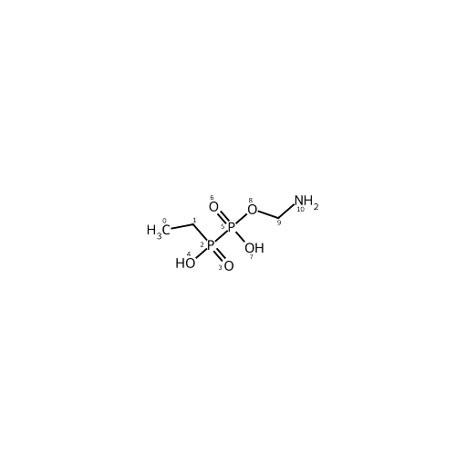 CCP(=O)(O)P(=O)(O)OCN